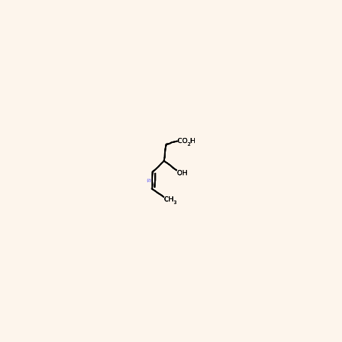 C/C=C\C(O)CC(=O)O